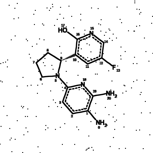 Nc1ccc(N2CCC[C@@H]2c2cc(F)cnc2O)nc1N